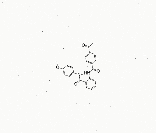 COc1ccc(NC(=O)c2ccccc2NC(=O)c2ccc(C(C)=O)cc2)cc1